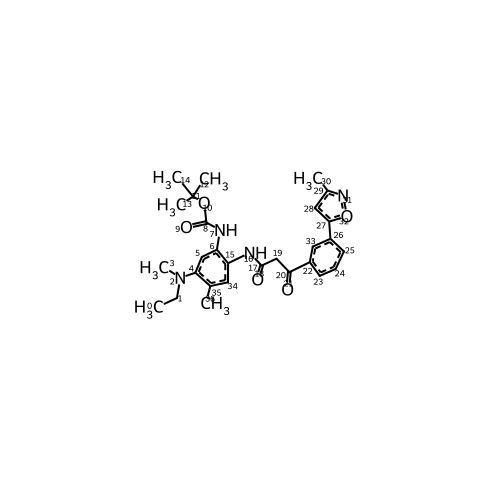 CCN(C)c1cc(NC(=O)OC(C)(C)C)c(NC(=O)CC(=O)c2cccc(-c3cc(C)no3)c2)cc1C